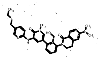 CCOCc1ccc(Nc2cc(-c3cccc(N4CCc5cc(N(C)C)ccc5C4=O)c3CO)cn(C)c2=O)nc1